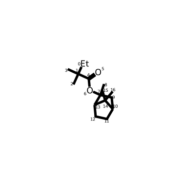 CCC(C)(C)C(=O)OC1(C)CC2CCC1C2(C)C